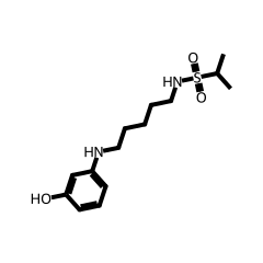 CC(C)S(=O)(=O)NCCCCCNc1cccc(O)c1